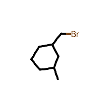 CC1CCCC(CBr)C1